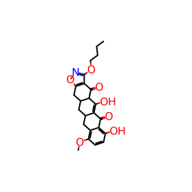 CCCCOc1noc2c1C(=O)C1C(O)=C3C(=O)c4c(O)ccc(OC)c4CC3CC1C2